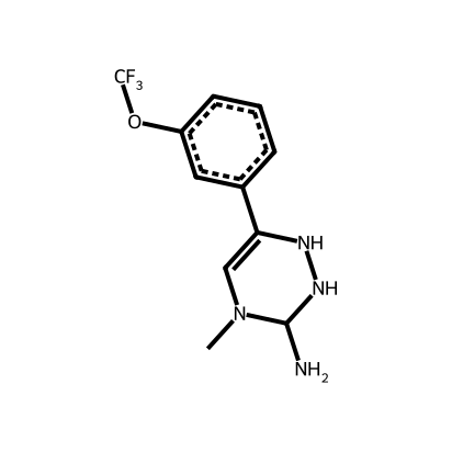 CN1C=C(c2cccc(OC(F)(F)F)c2)NNC1N